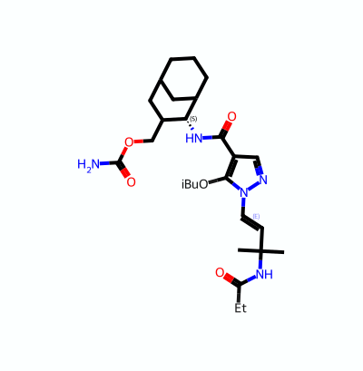 CCC(=O)NC(C)(C)/C=C/n1ncc(C(=O)N[C@H]2C3CCCC(C3)CC2COC(N)=O)c1OCC(C)C